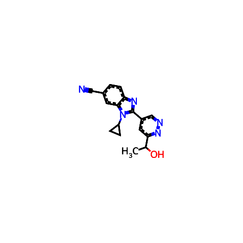 CC(O)c1cc(-c2nc3ccc(C#N)cc3n2C2CC2)cnn1